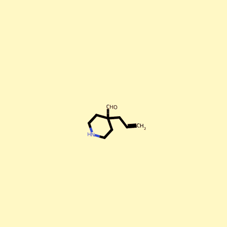 C=CCC1(C=O)CCNCC1